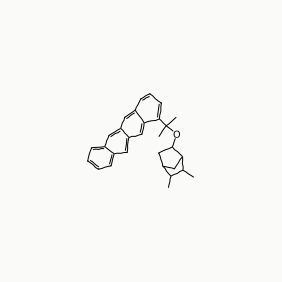 CC1C2CC(OC(C)(C)c3cccc4cc5cc6ccccc6cc5cc34)C(C2)C1C